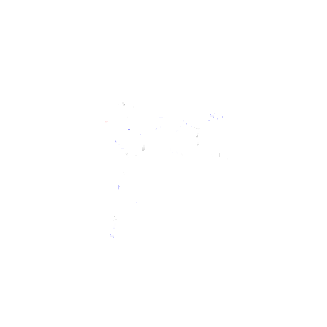 BC(O)(O)n1nc(C(C)(C)N/N=C\C=N)cc1Nc1ncc(C(F)(F)F)c(NC2CC2)n1